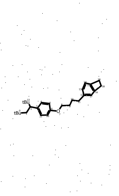 CC(C)(C)CC(c1ccc(OCCCCc2ccc3c(c2)CC3)cc1)C(C)(C)C